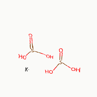 O=S(O)O.O=S(O)O.[K]